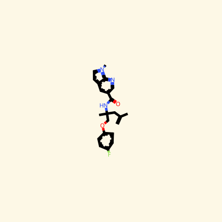 C=C(C)CC(C)(COc1ccc(F)cc1)NC(=O)c1cnc2c(ccn2C)c1